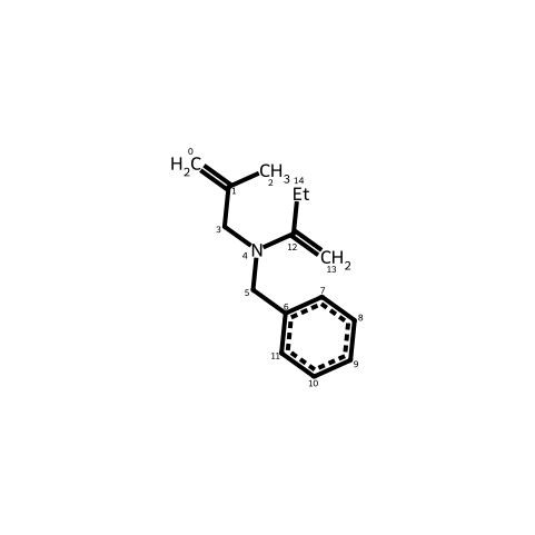 C=C(C)CN(Cc1ccccc1)C(=C)CC